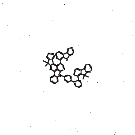 CC1(C)c2ccccc2-c2ccc(-c3ccccc3N(c3ccc(-c4ccccc4-c4cccc5c4C(C)(C)c4ccccc4-5)cc3)c3ccc(-c4cccc5c4sc4ccccc45)cc3)cc21